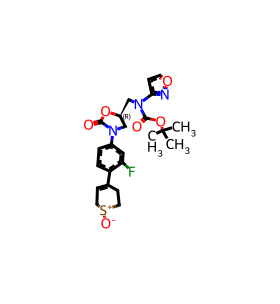 CC(C)(C)OC(=O)N(C[C@H]1CN(c2ccc(C3=CC[S+]([O-])CC3)c(F)c2)C(=O)O1)c1ccon1